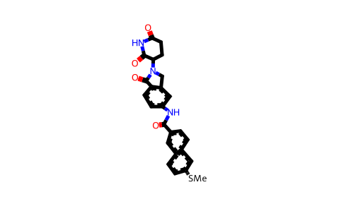 CSc1ccc2cc(C(=O)Nc3ccc4c(c3)CN(C3CCC(=O)NC3=O)C4=O)ccc2c1